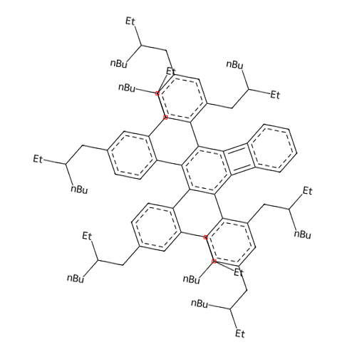 CCCCC(CC)Cc1ccc(-c2c(-c3ccc(CC(CC)CCCC)cc3CC(CC)CCCC)c(-c3ccc(CC(CC)CCCC)cc3CC(CC)CCCC)c3c(c2-c2ccc(CC(CC)CCCC)cc2CC(CC)CCCC)=c2ccccc2=3)c(CC(CC)CCCC)c1